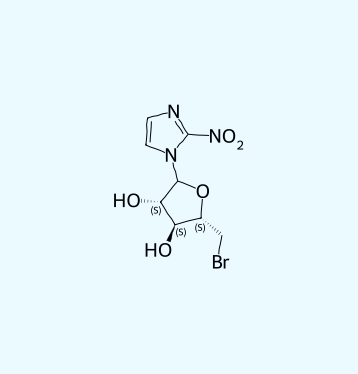 O=[N+]([O-])c1nccn1C1O[C@H](CBr)[C@@H](O)[C@@H]1O